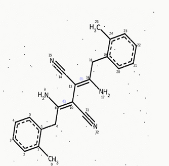 Cc1ccccc1C/C(N)=C(C#N)/C(C#N)=C(\N)Cc1ccccc1C